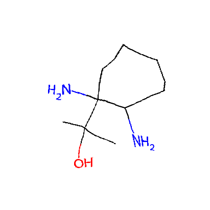 CC(C)(O)C1(N)CCCCC1N